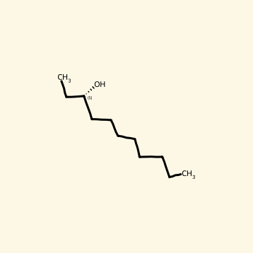 CCCCCCCC[C@@H](O)CC